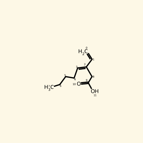 C=CC(=CCCCC)CC(=O)O